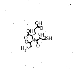 NCC(=O)N(C(=O)C(N)CS)[C@@H](CCC(=O)O)C(=O)O